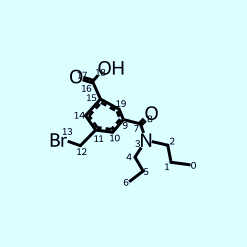 CCCN(CCC)C(=O)c1cc(CBr)cc(C(=O)O)c1